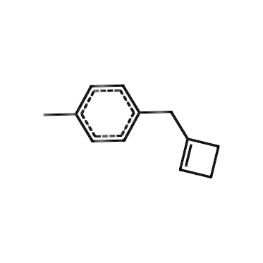 Cc1ccc(CC2=CCC2)cc1